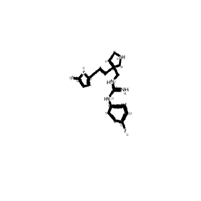 N=C(NCC1(CCc2ccc(F)s2)CCNC1)Nc1ccc(F)cc1